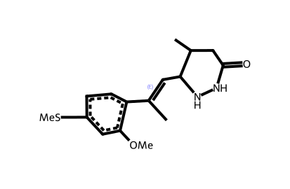 COc1cc(SC)ccc1/C(C)=C/C1NNC(=O)CC1C